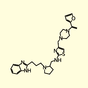 C=C(c1ccco1)N1CCN(Cc2csc(NCC3CCCN3CCCc3nc4ccccc4[nH]3)n2)CC1